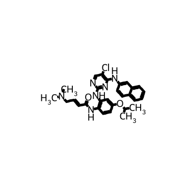 CC(C)Oc1ccc(NC(=O)/C=C/CN(C)C)c(Nc2ncc(Cl)c(Nc3ccc4ccccc4c3)n2)c1